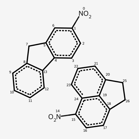 O=[N+]([O-])c1ccc2c(c1)Cc1ccccc1-2.O=[N+]([O-])c1ccc2c3c(cccc13)CC2